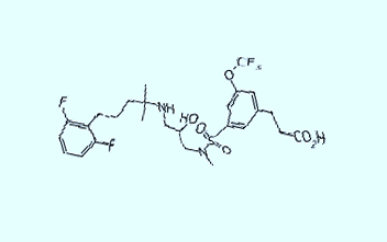 CN(CC(O)CNC(C)(C)CCCc1c(F)cccc1F)S(=O)(=O)c1cc(CCC(=O)O)cc(OC(F)(F)F)c1